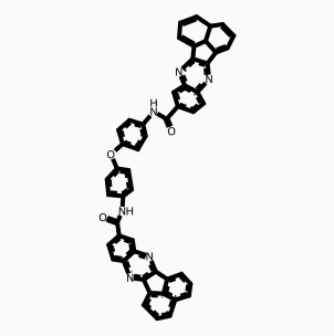 O=C(Nc1ccc(Oc2ccc(NC(=O)c3ccc4nc5c(nc4c3)-c3cccc4cccc-5c34)cc2)cc1)c1ccc2nc3c(nc2c1)C1=CC=CC2C=CC=C3C12